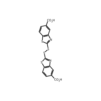 O=C(O)c1ccc2sc(SSc3nc4cc(C(=O)O)ccc4s3)nc2c1